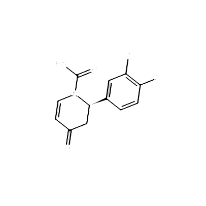 O=C1C=CN(C(=O)O)[C@@H](c2ccc(F)c(F)c2)C1